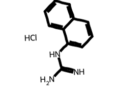 Cl.N=C(N)Nc1cccc2ccccc12